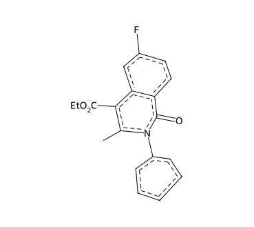 CCOC(=O)c1c(C)n(-c2ccccc2)c(=O)c2ccc(F)cc12